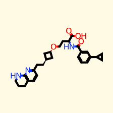 O=C(NC(CCO[C@H]1C[C@H](CCc2ccc3c(n2)NCCC3)C1)C(=O)O)c1cccc(C2CC2)c1